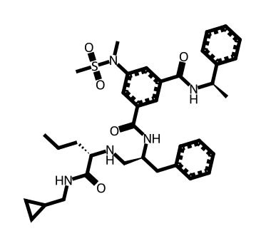 CCC[C@H](NC[C@H](Cc1ccccc1)NC(=O)c1cc(C(=O)N[C@H](C)c2ccccc2)cc(N(C)S(C)(=O)=O)c1)C(=O)NCC1CC1